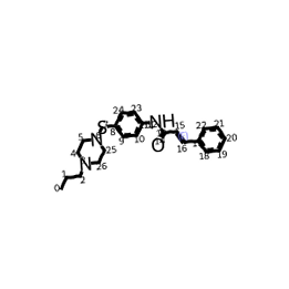 CCCN1CCN(Sc2ccc(NC(=O)/C=C/c3ccccc3)cc2)CC1